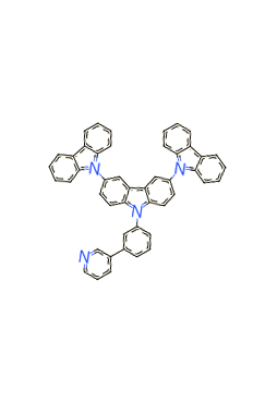 c1cncc(-c2cccc(-n3c4ccc(-n5c6ccccc6c6ccccc65)cc4c4cc(-n5c6ccccc6c6ccccc65)ccc43)c2)c1